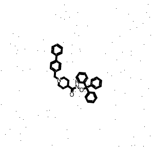 O=C(NOC(c1ccccc1)(c1ccccc1)c1ccccc1)C1CCN(Cc2ccc(-c3ccccc3)cc2)CC1